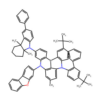 Cc1cc2c3c(c1)N(c1ccc(C(C)(C)C)cc1-c1ccccc1)c1ccc(C(C)(C)C)cc1B3c1ccc(N3c4ccc(-c5ccccc5)cc4C4(C)CCCCC34C)cc1N2c1ccc2c(c1)oc1ccccc12